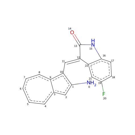 Nc1cc2cccccc-2c1C=C1C(=O)Nc2ccc(F)cc21